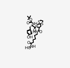 CC(C)(C)OC(=O)N[C@@H](Cc1ccc(O)cc1)C(=O)N1CC2(CC1C(=O)NCCCCCC(=O)NO)SCCS2